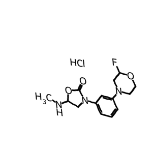 CNC1CN(c2cccc(N3CCOC(F)C3)c2)C(=O)O1.Cl